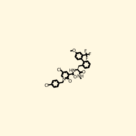 CNC(=O)[C@H](Cc1ccccc1-c1ccc(OC)cc1C(F)(F)F)NC(=O)c1cc(Cl)cn(Cc2ccc(Cl)cc2)c1=O